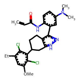 C=CC(=O)Nc1ccc(N(C)C)cc1-c1n[nH]c2c1CCC(c1c(Cl)c(CC)cc(OC)c1Cl)C2